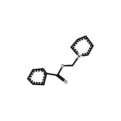 O=C(OC[n+]1ccccc1)c1ccccc1